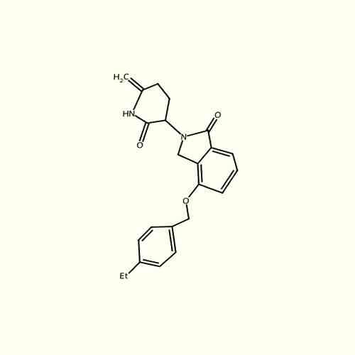 C=C1CCC(N2Cc3c(OCc4ccc(CC)cc4)cccc3C2=O)C(=O)N1